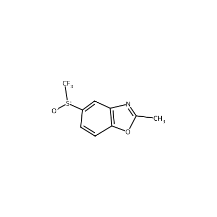 Cc1nc2cc([S+]([O-])C(F)(F)F)ccc2o1